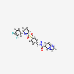 O=C(NCc1ccc(S(=O)(=O)c2cccc(-c3ccc(F)c(F)c3)n2)cc1)c1ccc2nccn2c1